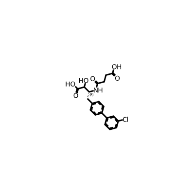 O=C(O)CCC(=O)N[C@H](Cc1ccc(-c2cccc(Cl)c2)cc1)C(O)C(=O)O